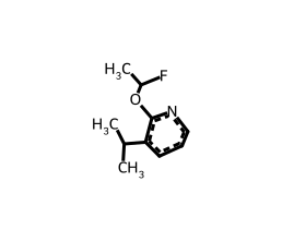 CC(F)Oc1ncccc1C(C)C